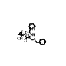 N#CC1(NC(=O)[C@H](CSCc2ccccc2)N[C@H](c2ccccn2)C(F)(F)F)CC1